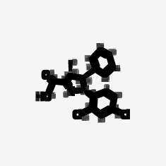 C[C@H]1C(C(=O)O)=NN(c2ccc(Cl)cc2Cl)[C@@H]1c1ccccc1